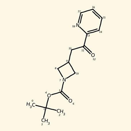 CC(C)(C)OC(=O)N1CC(CC(=O)c2ccccn2)C1